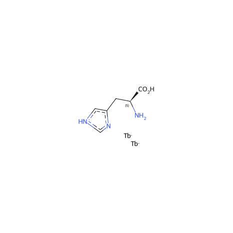 N[C@@H](Cc1c[nH]cn1)C(=O)O.[Tb].[Tb]